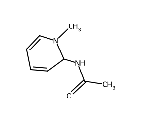 CC(=O)NC1C=CC=CN1C